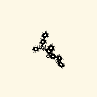 c1ccc(-c2ccc(-c3nc(-c4ccccc4)nc(-c4cc5oc6ccc(-c7cccc8c7oc7ccccc78)cc6c5c5ccccc45)n3)cc2)cc1